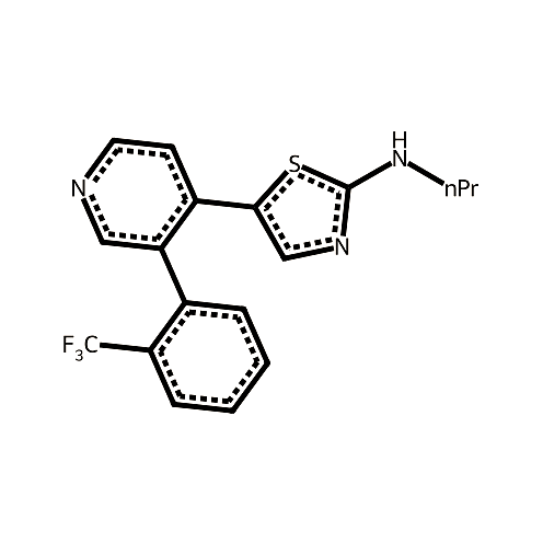 CCCNc1ncc(-c2ccncc2-c2ccccc2C(F)(F)F)s1